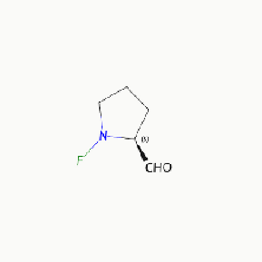 O=C[C@@H]1CCCN1F